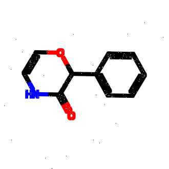 O=C1NC=COC1c1ccccc1